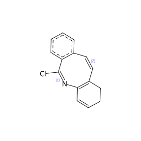 Cl/C1=N/C2=C(/C=C\c3ccccc31)CCC=C2